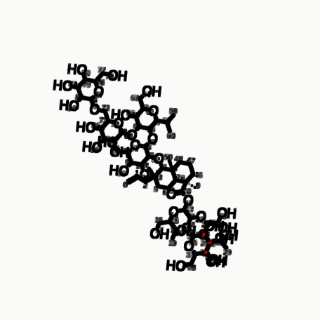 C=CC[C@@]1(C)CCC2[C@](C)(C(=O)OC(OC(CO)C(C)O)C(OC(OC(CO)C(C)O)C(O)O)OC3OC(CO)C(O)C(O)C3O)CCC[C@@]2(C)[C@@H]1OC1C(OC2C(C(C)C)OC(CO)C(O)C2OC2OC(COC3OC(CO)C(O)C(O)C3O)C(O)C(O)C2O)OC(CO)C(O)C1O